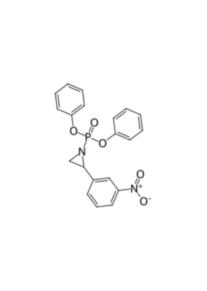 O=[N+]([O-])c1cccc(C2CN2P(=O)(Oc2ccccc2)Oc2ccccc2)c1